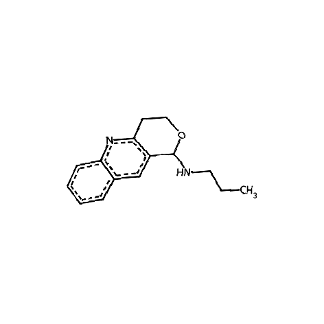 CCCNC1OCCc2nc3ccccc3cc21